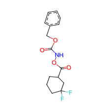 O=C(NOC(=O)C1CCCC(F)(F)C1)OCc1ccccc1